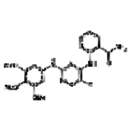 COc1cc(Nc2ncc(F)c(Nc3ccccc3C(N)=O)n2)cc(OC)c1OC